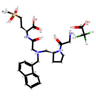 CS(=O)(=O)CC[C@H](NC(=O)CN(Cc1cccc2ccccc12)C[C@@H]1CCCN1C(=O)CN)C(=O)O.O=C(O)C(F)(F)F